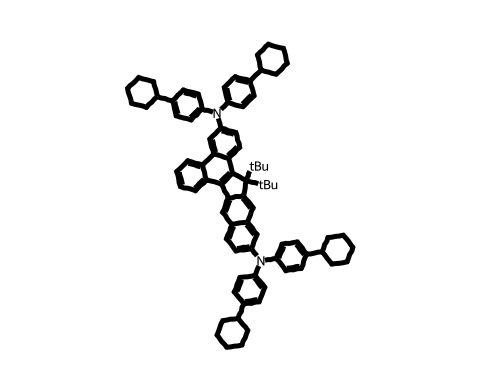 CC(C)(C)C1(C(C)(C)C)c2cc3cc(N(c4ccc(C5CCCCC5)cc4)c4ccc(C5CCCCC5)cc4)ccc3cc2-c2c1c1ccc(N(c3ccc(C4CCCCC4)cc3)c3ccc(C4CCCCC4)cc3)cc1c1ccccc21